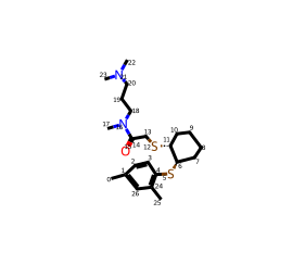 Cc1ccc(S[C@@H]2CCCC[C@H]2SCC(=O)N(C)CCCN(C)C)c(C)c1